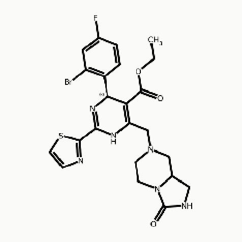 CCOC(=O)C1=C(CN2CCN3C(=O)NCC3C2)NC(c2nccs2)=N[C@H]1c1ccc(F)cc1Br